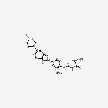 CNc1cc(-c2nc3cc(N4CCN(C)CC4)ccc3[nH]2)ccc1NONC(=O)OC(C)(C)C